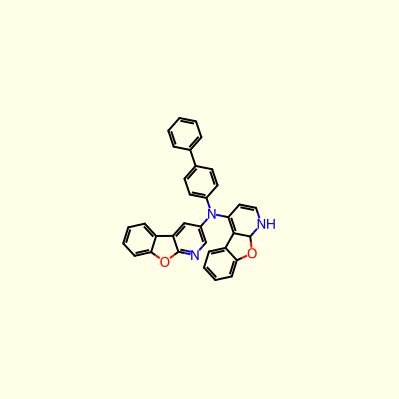 C1=CC(N(c2ccc(-c3ccccc3)cc2)c2cnc3oc4ccccc4c3c2)=C2c3ccccc3OC2N1